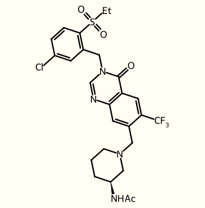 CCS(=O)(=O)c1ccc(Cl)cc1Cn1cnc2cc(CN3CCC[C@H](NC(C)=O)C3)c(C(F)(F)F)cc2c1=O